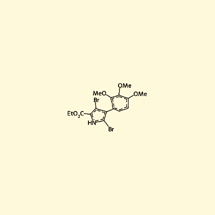 CCOC(=O)c1[nH]c(Br)c(-c2ccc(OC)c(OC)c2OC)c1Br